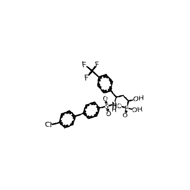 O=P(O)(O)C(O)CC(NS(=O)(=O)c1ccc(-c2ccc(Cl)cc2)cc1)c1ccc(C(F)(F)F)cc1